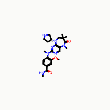 CNC(=O)c1ccc(N(C)c2ncc3c(n2)N([C@@H]2CCNC2)CC(C)(C)C(=O)N3C)c(OC)c1